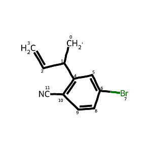 [CH2]C(C=C)c1cc(Br)ccc1C#N